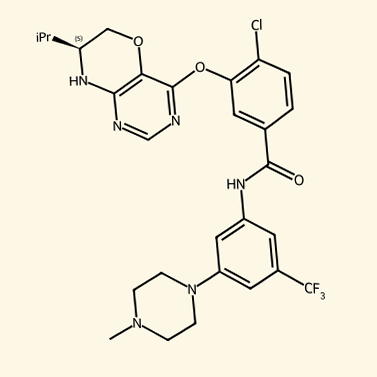 CC(C)[C@H]1COc2c(ncnc2Oc2cc(C(=O)Nc3cc(N4CCN(C)CC4)cc(C(F)(F)F)c3)ccc2Cl)N1